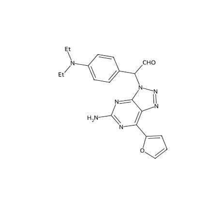 CCN(CC)c1ccc(C(C=O)n2nnc3c(-c4ccco4)nc(N)nc32)cc1